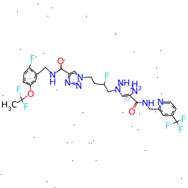 CC(F)(F)Oc1ccc(F)c(CNC(=O)c2cn(CCC(F)CN(N)/C=C(\N)C(=O)NCc3cc(C(F)(F)F)ccn3)nn2)c1